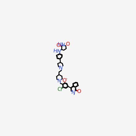 COc1cc(-c2cn(C)c(=O)c3ccccc23)cc(Cl)c1CN1CCC(CCN2CCC(c3ccc(NC4CCC(=O)NC4=O)cc3)CC2)CC1